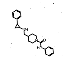 O=C(Nc1ccccc1)N1CCC(CNC2CC2c2ccccc2)CC1